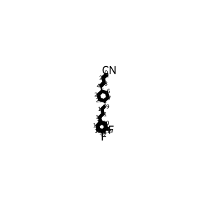 N#C/C=C/C=C/[C@H]1CC[C@H](CCCCc2ccc(F)c(F)c2)CC1